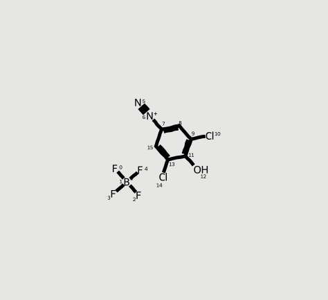 F[B-](F)(F)F.N#[N+]c1cc(Cl)c(O)c(Cl)c1